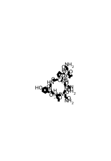 CC[C@H](C)[C@@H]1NC(=O)[C@H](Cc2ccc(O)cc2)NC(=O)CNC(=O)CC[C@@H](C(=O)N2CCC[C@H]2C(=O)N[C@H](C(=O)NCC(N)=O)C(C)C)NC(=O)[C@H](CC(N)=O)NC(=O)[C@H](CCC(N)=O)NC1=O